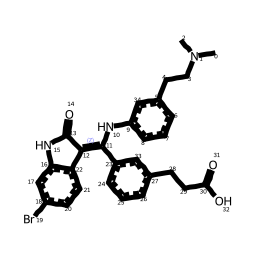 CN(C)CCc1cccc(N/C(=C2\C(=O)Nc3cc(Br)ccc32)c2cccc(CCC(=O)O)c2)c1